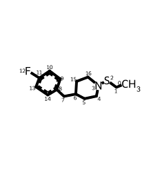 CCSN1CCC(Cc2ccc(F)cc2)CC1